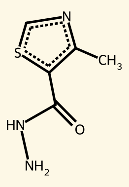 Cc1ncsc1C(=O)NN